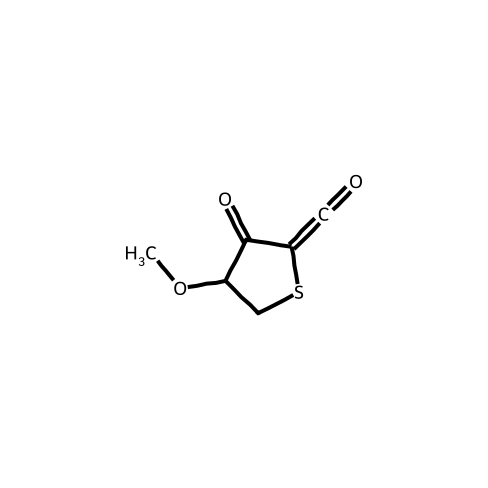 COC1CSC(=C=O)C1=O